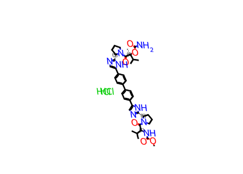 COC(=O)N[C@H](C(=O)N1CCC[C@H]1c1ncc(-c2ccc(-c3ccc(-c4cnc([C@@H]5CCCN5C(=O)[C@@](C)(OC(N)=O)C(C)C)[nH]4)cc3)cc2)[nH]1)C(C)C.Cl.Cl